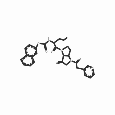 CCCC(NC(=O)Oc1ccc2ccccc2c1)C(=O)N1CCC2C1C(=O)CN2C(=O)Cc1cccnc1